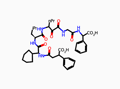 CCCC(NC(=O)[C@H](CC(C)C)NC(=O)[C@@H](NC(=O)CC(C(=O)O)c1ccccc1)C1CCCCC1)C(=O)C(=O)NCC(=O)NC(C(=O)O)c1ccccc1